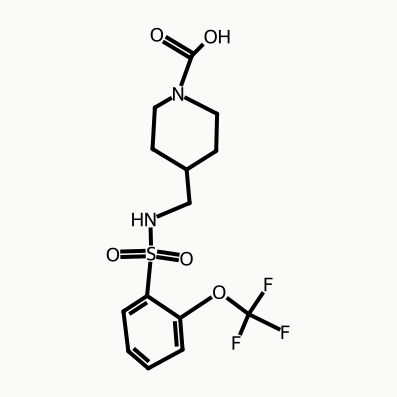 O=C(O)N1CCC(CNS(=O)(=O)c2ccccc2OC(F)(F)F)CC1